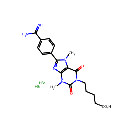 Br.Br.Cn1c(-c2ccc(C(=N)N)cc2)nc2c1c(=O)n(CCCCC(=O)O)c(=O)n2C